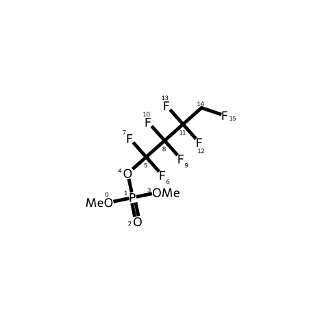 COP(=O)(OC)OC(F)(F)C(F)(F)C(F)(F)CF